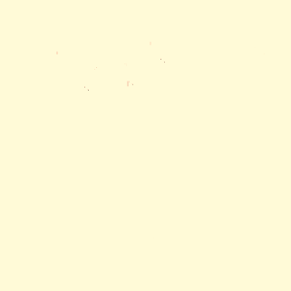 Cc1ccc(NC(N[C@@H](CC(C)C)C(=O)Nc2c(C3CCc4c(ccc5c4ccc4ccccc45)C3)coc2O)S(=O)(=O)O)cc1